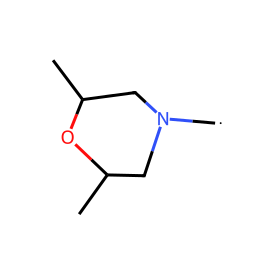 [CH2]N1CC(C)OC(C)C1